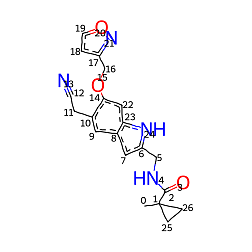 CC1(C(=O)NCc2cc3cc(CC#N)c(OCc4ccon4)cc3[nH]2)CC1